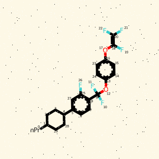 CCCC1CCC(c2ccc(C(F)(F)Oc3ccc(OC(F)=C(F)F)cc3)c(F)c2)CC1